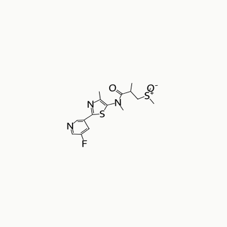 Cc1nc(-c2cncc(F)c2)sc1N(C)C(=O)C(C)C[S+](C)[O-]